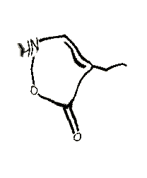 Cc1c[nH]oc1=O